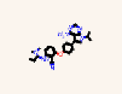 CCC(Nc1cccc(Oc2ccc(-c3cn(C(C)C)c4ncnc(N)c34)cc2)c1C#N)N(C)C